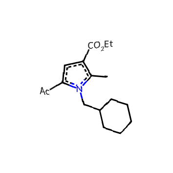 CCOC(=O)c1cc(C(C)=O)n(CC2CCCCC2)c1C